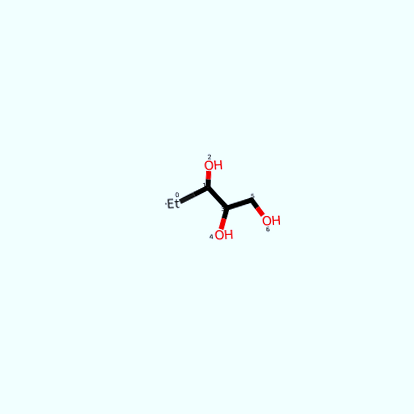 C[CH]C(O)C(O)CO